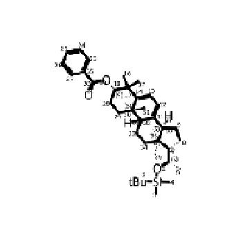 C[C@H](O[Si](C)(C)C(C)(C)C)[C@H]1CC[C@@H]2C3=CC=C4C(C)(C)[C@@H](OC(=O)c5ccccc5)CC[C@@]4(C)[C@H]3CC[C@@]21C